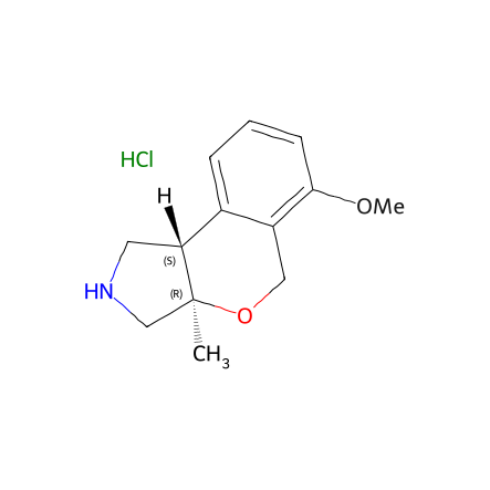 COc1cccc2c1CO[C@@]1(C)CNC[C@H]21.Cl